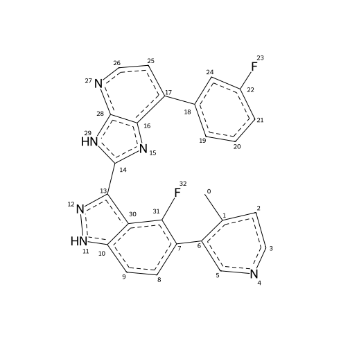 Cc1ccncc1-c1ccc2[nH]nc(-c3nc4c(-c5cccc(F)c5)ccnc4[nH]3)c2c1F